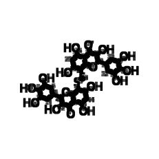 O=c1c(O)c(-c2cc(O)c(O)c(O)c2)oc2c(SSc3c(O)cc(O)c4c(=O)c(O)c(-c5cc(O)c(O)c(O)c5)oc34)c(O)cc(O)c12